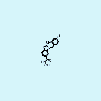 O=C(NO)c1ccc2ccn(Cc3ccc(Cl)cc3Cl)c2c1